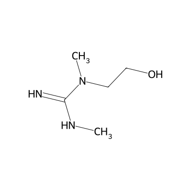 CNC(=N)N(C)CCO